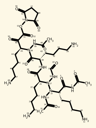 CC(=O)NC(=O)[C@H](CCCCN)N(NC(C)=O)N(NC=O)[C@@H](CCCCN)C(=O)N[C@@H](CCCCN)C(=O)N(NC(C)=O)[C@@H](CCCCN)C(=O)C(=O)ON1C(=O)CCC1=O